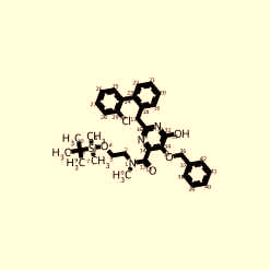 CN(CCO[Si](C)(C)C(C)(C)C)C(=O)c1nc(Cc2ccccc2-c2ccccc2Cl)nc(O)c1OCc1ccccc1